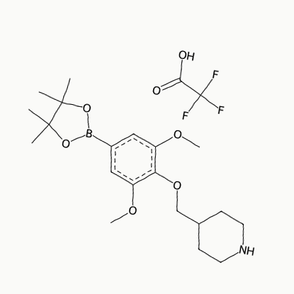 COc1cc(B2OC(C)(C)C(C)(C)O2)cc(OC)c1OCC1CCNCC1.O=C(O)C(F)(F)F